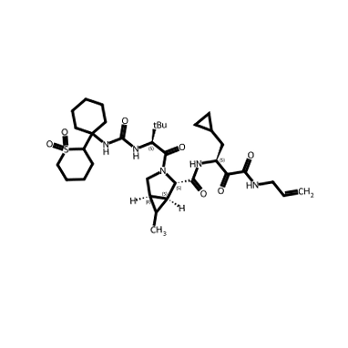 C=CCNC(=O)C(=O)[C@H](CC1CC1)NC(=O)[C@@H]1[C@H]2C(C)[C@H]2CN1C(=O)[C@@H](NC(=O)NC1(C2CCCCS2(=O)=O)CCCCC1)C(C)(C)C